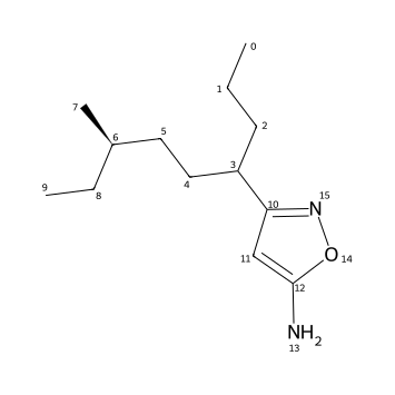 CCCC(CC[C@H](C)CC)c1cc(N)on1